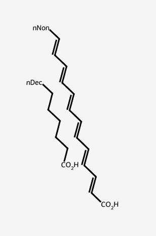 CCCCCCCCCC=CC=CC=CC=CC=CC=CC(=O)O.CCCCCCCCCCCCCCCC(=O)O